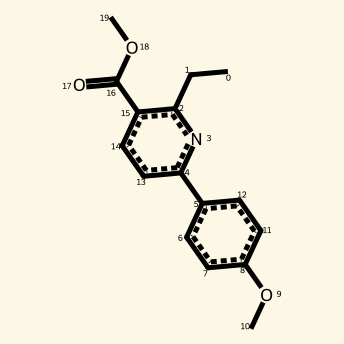 CCc1nc(-c2ccc(OC)cc2)ccc1C(=O)OC